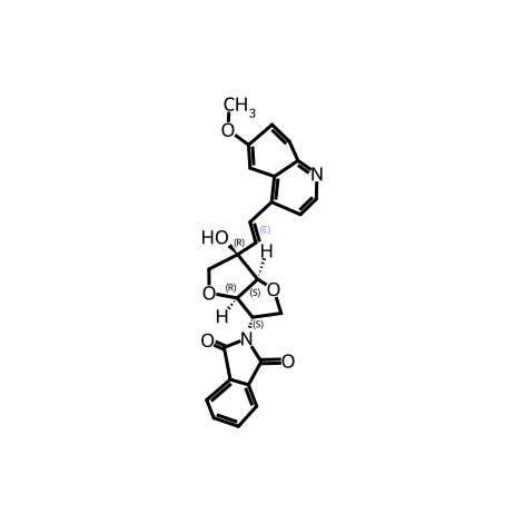 COc1ccc2nccc(/C=C/[C@@]3(O)CO[C@@H]4[C@@H](N5C(=O)c6ccccc6C5=O)CO[C@@H]43)c2c1